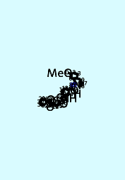 COc1ccc2c(c1)/C(=C/C(=O)c1cccc(NS(=O)(=O)c3ccc(S(=O)(=O)c4ccccc4)s3)c1)NC(C)(C)C2